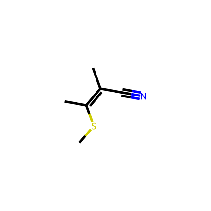 CS/C(C)=C(/C)C#N